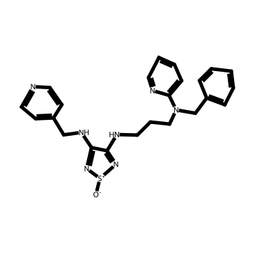 [O-][s+]1nc(NCCCN(Cc2ccccc2)c2ccccn2)c(NCc2ccncc2)n1